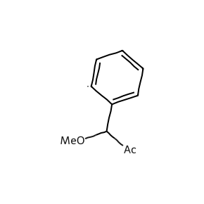 COC(C(C)=O)c1[c]cccc1